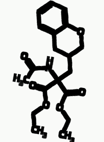 CCOC(=O)C(CC1COc2ccccc2C1)(NC(C)=O)C(=O)OCC